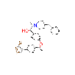 C=C(Oc1ccc(C(O)C(C)N2CCC(Cc3ccccc3)CC2)cc1)c1ccc(-c2cssc2=S)cc1